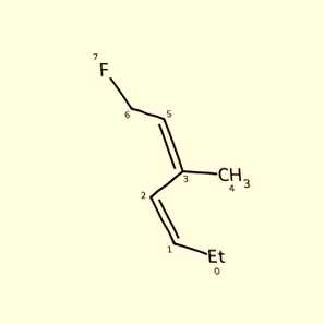 CC/C=C\C(C)=C/CF